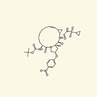 CC(C)(C)OC(=O)N[C@H]1CCCCC/C=C\C2C[C@@]2(C(=O)NS(=O)(=O)C2CC2)NC(=O)[C@@H]2C[C@@H](Oc3ccc([N+](=O)[O-])cc3)CN2C1=O